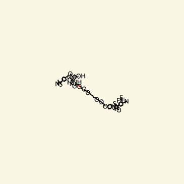 Cc1ncsc1-c1ccc(CNC(=O)[C@@H]2C[C@@H](O)CN2C(=O)[C@@H](NC(=O)COCCOCCOCCCCCOCCOCCOc2ccc(N3C(=S)N(c4ccc(C#N)c(C(F)(F)F)c4)C(=O)C3(C)C)cc2)C(C)(C)C)cc1